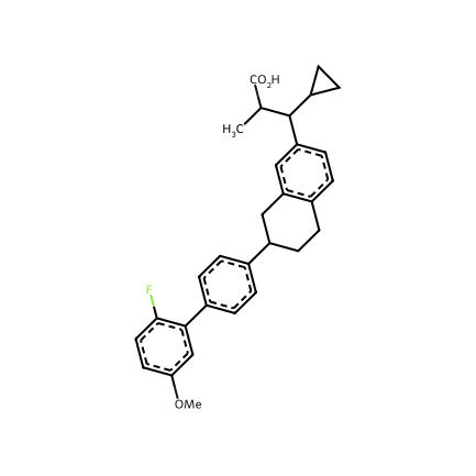 COc1ccc(F)c(-c2ccc(C3CCc4ccc(C(C5CC5)C(C)C(=O)O)cc4C3)cc2)c1